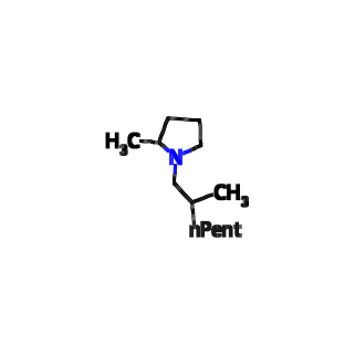 CCCCCC(C)CN1CCCC1C